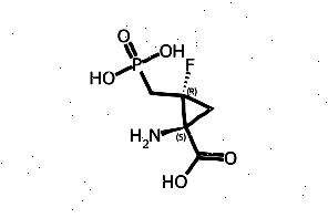 N[C@]1(C(=O)O)C[C@]1(F)CP(=O)(O)O